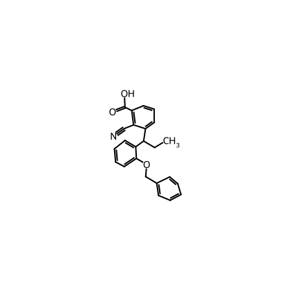 CCC(c1ccccc1OCc1ccccc1)c1cccc(C(=O)O)c1C#N